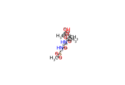 CC(=O)C(=O)SCCNC(=O)CCNC(=O)[C@@H]1OC(C)(CC(=O)O)OCC1(C)C